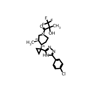 C[C@H]1CN(C(=O)C(C)(O)C(F)(F)F)CC[C@H]1C1(c2nnc(-c3ccc(Cl)cc3)[nH]2)CC1